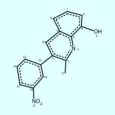 Cc1nc2c(O)cccc2cc1-c1cccc([N+](=O)[O-])c1